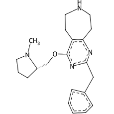 CN1CCC[C@H]1COc1nc(Cc2ccccc2)nc2c1CCNCC2